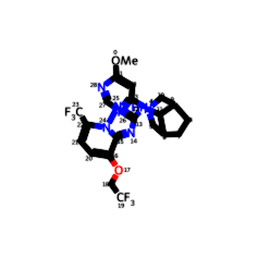 COc1cc(N2CC3CCC(C2)C3Nc2nc3c(OCC(F)(F)F)ccc(C(F)(F)F)n3n2)ncn1